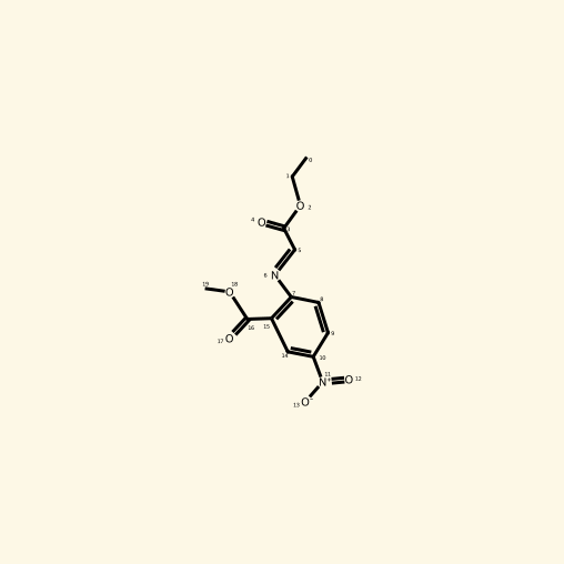 CCOC(=O)C=Nc1ccc([N+](=O)[O-])cc1C(=O)OC